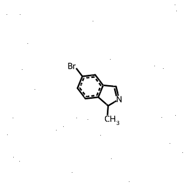 CC1N=Cc2cc(Br)ccc21